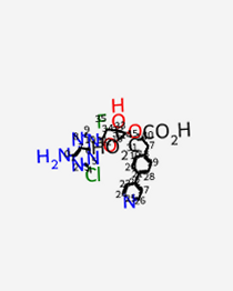 Nc1nc(Cl)nc2c1ncn2C1OC2C(OC(Cc3ccc(-c4ccncc4)cc3)(C(=O)O)C(=O)O)C2(O)C1F